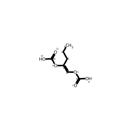 CCC/C(=C\OC(=O)O)OC(=O)O